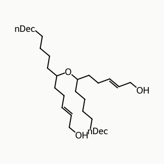 CCCCCCCCCCCCCCC(CCC=CCO)OC(CCC=CCO)CCCCCCCCCCCCCC